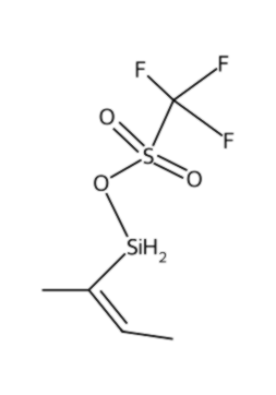 CC=C(C)[SiH2]OS(=O)(=O)C(F)(F)F